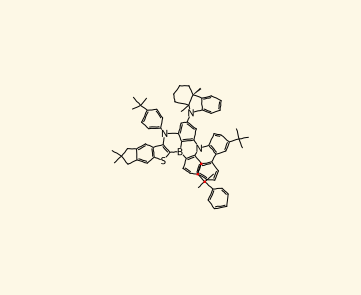 CC1(C)Cc2cc3sc4c(c3cc2C1)N(c1ccc(C(C)(C)C)cc1)c1cc(N2c3ccccc3[C@@]3(C)CCCCC23C)cc2c1B4c1ccc(C(C)(C)c3ccccc3)cc1N2c1ccc(C(C)(C)C)cc1-c1ccccc1